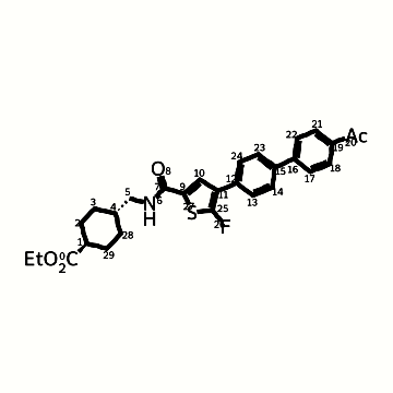 CCOC(=O)[C@H]1CC[C@H](CNC(=O)c2cc(-c3ccc(-c4ccc(C(C)=O)cc4)cc3)c(F)s2)CC1